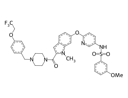 COc1cccc(S(=O)(=O)Nc2ccc(Oc3ccc4cc(C(=O)N5CCN(Cc6ccc(OCC(F)(F)F)cc6)CC5)n(C)c4c3)nc2)c1